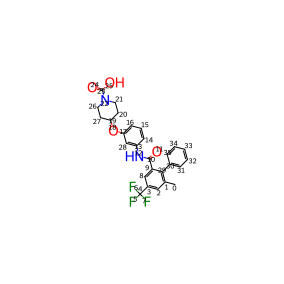 Cc1cc(C(F)(F)F)cc(C(=O)Nc2cccc(OC3CCN(C(=O)O)CC3)c2)c1-c1ccccc1